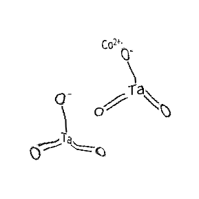 [Co+2].[O]=[Ta](=[O])[O-].[O]=[Ta](=[O])[O-]